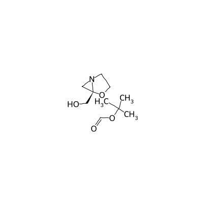 CC(C)(C)OC=O.OC[C@@]12CN1CCO2